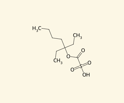 CCCCC(CC)(CC)OC(=O)S(=O)(=O)O